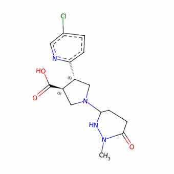 CN1NC(N2C[C@@H](C(=O)O)[C@H](c3ccc(Cl)cn3)C2)CCC1=O